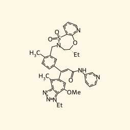 CC[C@@H]1CN(Cc2cc(/C(=C/C(=O)Nc3cccnc3)c3cc(OC)c4c(nnn4CC)c3C)ccc2C)S(=O)(=O)c2cccnc2O1